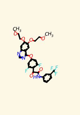 COCCOc1cc2ncnc(Oc3cc(F)c(C(=O)C(=O)Nc4cccc(C(F)(F)F)c4)c(F)c3)c2cc1OCCOC